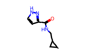 O=C(NCC1CC1)c1cc[nH]n1